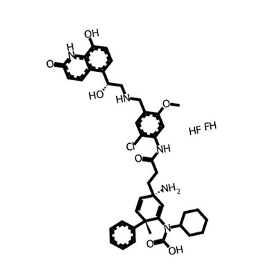 COc1cc(NC(=O)CC[C@]2(N)C=C[C@@](C)(c3ccccc3)C(N(C(=O)O)C3CCCCC3)=C2)c(Cl)cc1CNC[C@H](O)c1ccc(O)c2[nH]c(=O)ccc12.F.F